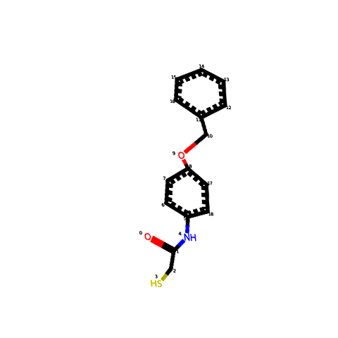 O=C(CS)Nc1ccc(OCc2ccccc2)cc1